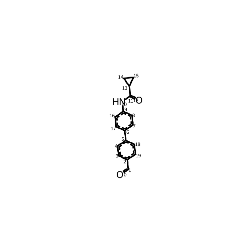 O=Cc1ccc(-c2ccc(NC(=O)C3CC3)cc2)cc1